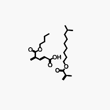 C=C(C)C(=O)OCCCCCCCC(C)C.C=C(C=CC(=O)O)C(=O)OCCCC